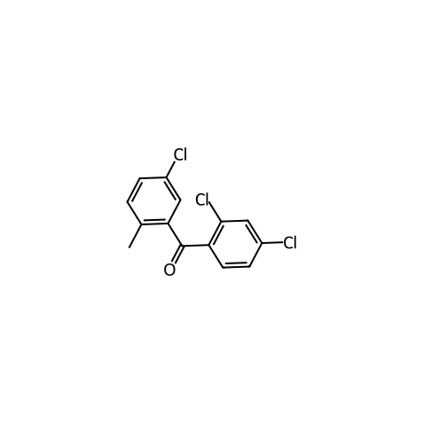 Cc1ccc(Cl)cc1C(=O)c1ccc(Cl)cc1Cl